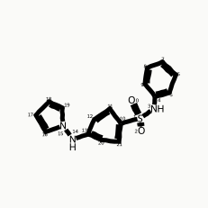 O=S(=O)(Nc1ccccc1)c1ccc(Nn2cccc2)cc1